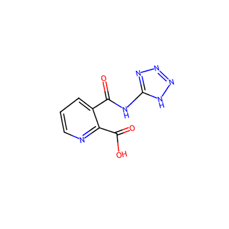 O=C(Nc1nnn[nH]1)c1cccnc1C(=O)O